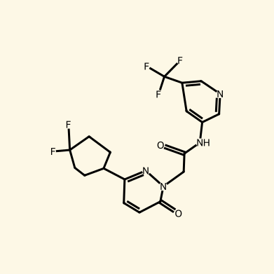 O=C(Cn1nc(C2CCC(F)(F)CC2)ccc1=O)Nc1cncc(C(F)(F)F)c1